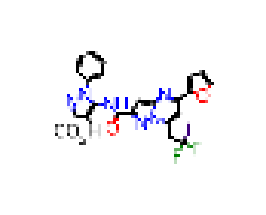 O=C(Nc1c(C(=O)O)cnn1-c1ccccc1)c1cc2nc(-c3ccco3)cc(CC(F)(F)I)n2n1